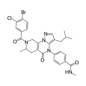 CNC(=O)c1ccc(-n2c(=O)c3c(n4ncc(CC(C)C)c24)CN(C(=O)c2ccc(Br)c(Cl)c2)C(C)C3)cc1